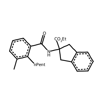 CCCCCc1c(C)cccc1C(=O)NC1(C(=O)OCC)Cc2ccccc2C1